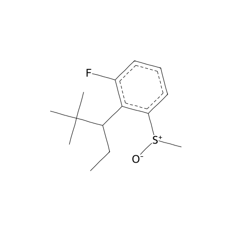 CCC(c1c(F)cccc1[S+](C)[O-])C(C)(C)C